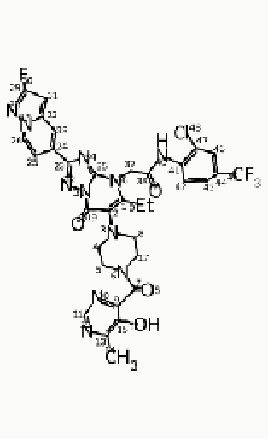 CCc1c(N2CCN(C(=O)c3ncnc(C)c3O)CC2)c(=O)n2nc(-c3ccn4nc(F)cc4c3)nc2n1CC(=O)Nc1ccc(C(F)(F)F)cc1Cl